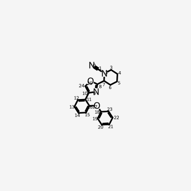 N#CN1CCCCC1c1nc(-c2ccccc2Oc2ccccc2)co1